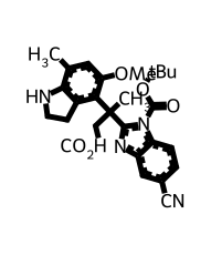 COc1cc(C)c2c(c1C(C)(CC(=O)O)c1nc3cc(C#N)ccc3n1C(=O)OC(C)(C)C)CCN2